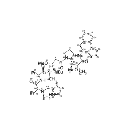 CC[C@H](C)[C@@H]([C@@H](CC(=O)N1CCCC1[C@H](OC)[C@@H](C)C(=O)N[C@@H](Cc1ccccc1)c1nccs1)OC)N(C)C(=O)C(NC(=O)C(C(C)C)N(C)Cc1ncc[nH]1)C(C)C